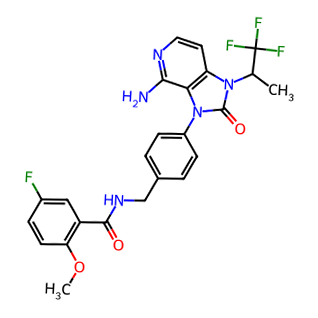 COc1ccc(F)cc1C(=O)NCc1ccc(-n2c(=O)n(C(C)C(F)(F)F)c3ccnc(N)c32)cc1